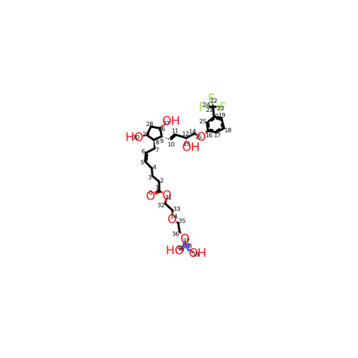 O=C(CCC/C=C\C[C@@H]1[C@@H](/C=C/[C@@H](O)COc2cccc(C(F)(F)F)c2)[C@H](O)C[C@@H]1O)OCCOCCON(O)O